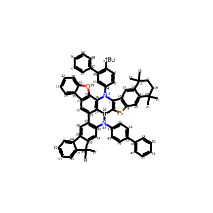 CC(C)(C)c1ccc(N2c3c(sc4cc5c(cc34)C(C)(C)CCC5(C)C)B3c4c(cc5c(oc6ccccc65)c42)-c2cc4c(cc2N3c2ccc(-c3ccccc3)cc2)C(C)(C)c2ccccc2-4)cc1-c1ccccc1